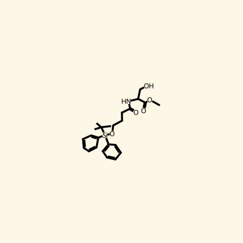 COC(=O)C(CO)NC(=O)CCCO[Si](c1ccccc1)(c1ccccc1)C(C)(C)C